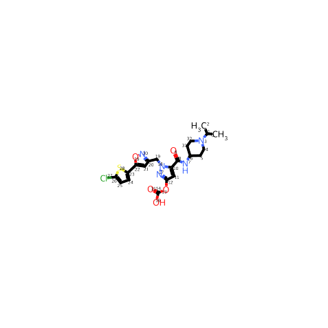 CC(C)N1CCC(NC(=O)c2cc(OC(=O)O)nn2Cc2cc(-c3ccc(Cl)s3)on2)CC1